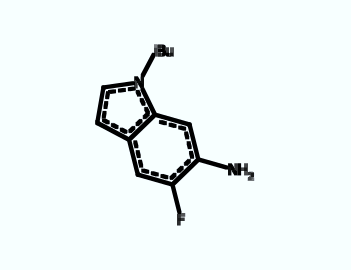 CCC(C)n1ccc2cc(F)c(N)cc21